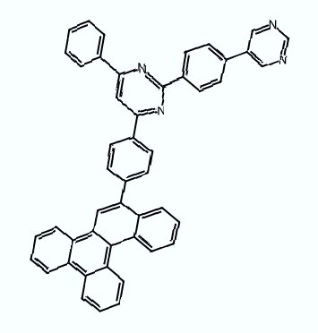 c1ccc(-c2cc(-c3ccc(-c4cc5c6ccccc6c6ccccc6c5c5ccccc45)cc3)nc(-c3ccc(-c4cncnc4)cc3)n2)cc1